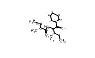 CC[C@H](C)C(NC(=O)[C@H](C)NC)C(=O)N1CCCCC1